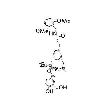 COc1cccc(OC)c1CNC(=O)CCc1cccc(C[C@@H](C)NC[C@@H](O[Si](C)(C)C(C)(C)C)c2ccc(O)c(CO)c2)c1